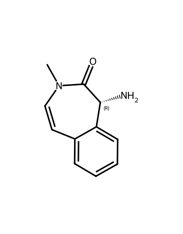 CN1C=Cc2ccccc2[C@@H](N)C1=O